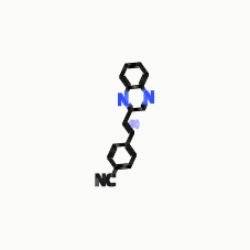 N#Cc1ccc(/C=C/c2cnc3ccccc3n2)cc1